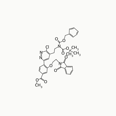 COC(=O)c1ccc(-c2cc(CCN(C(=O)OCc3ccccc3)C(=O)OC(C)(C)C)c(Cl)nn2)c(OCCN2C(=O)c3ccccc3C2=O)c1